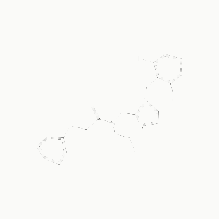 O=C(CCc1ccccc1)N(CCO)Cc1nccn1Cc1c(F)cccc1Cl